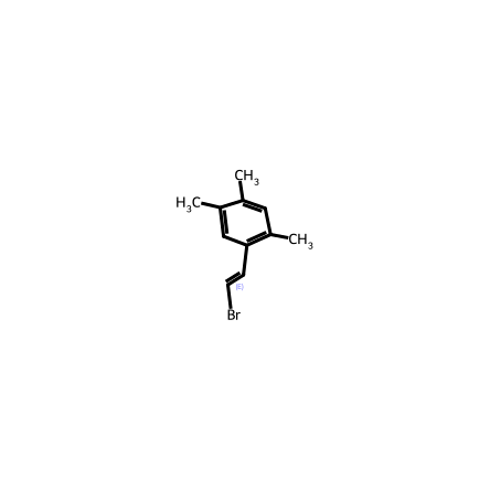 Cc1cc(C)c(/C=C/Br)cc1C